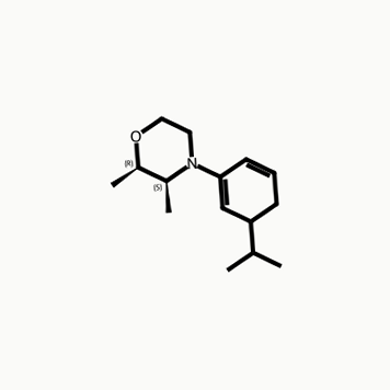 CC(C)C1C=C(N2CCO[C@H](C)[C@@H]2C)C=CC1